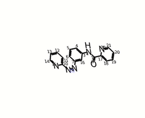 O=C(Nc1cccc(/N=N\c2ccccn2)c1)c1ccccn1